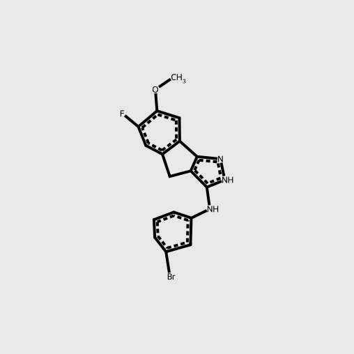 COc1cc2c(cc1F)Cc1c-2n[nH]c1Nc1cccc(Br)c1